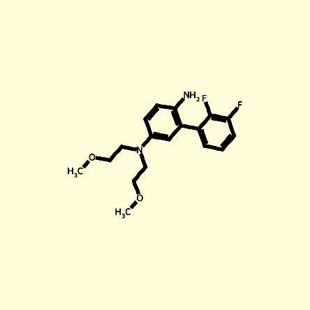 COCCN(CCOC)c1ccc(N)c(-c2cccc(F)c2F)c1